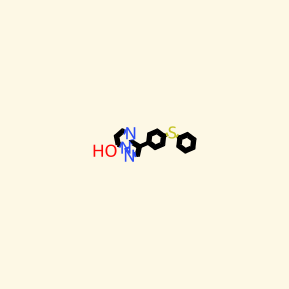 Oc1ccnc2c(-c3ccc(Sc4ccccc4)cc3)cnn12